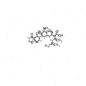 Cc1c(-c2cc3cc(N(C(=O)O)[C@@H](C)CN(C)C)ncc3c(N)c2F)cnc2c1NCCO2